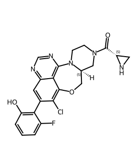 O=C([C@@H]1CN1)N1CCN2c3ncnc4cc(-c5c(O)cccc5F)c(Cl)c(c34)OC[C@@H]2C1